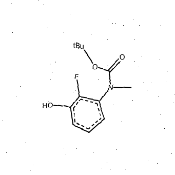 CN(C(=O)OC(C)(C)C)c1cccc(O)c1F